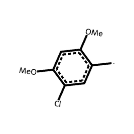 [CH2]c1cc(Cl)c(OC)cc1OC